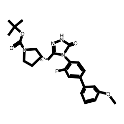 COc1cccc(-c2ccc(-n3c(C[C@@H]4CCN(C(=O)OC(C)(C)C)C4)n[nH]c3=O)c(F)c2)c1